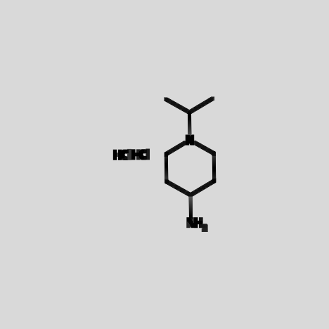 CC(C)N1CCC(N)CC1.Cl.Cl